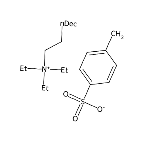 CCCCCCCCCCCC[N+](CC)(CC)CC.Cc1ccc(S(=O)(=O)[O-])cc1